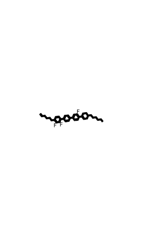 C=CCCCCc1ccc(-c2ccc(-c3ccc(C4=CCC(CCCCCC)CC4)c(F)c3)cc2)c(F)c1F